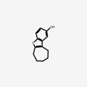 Oc1ccc2sc3c(c2c1)CCCCC3